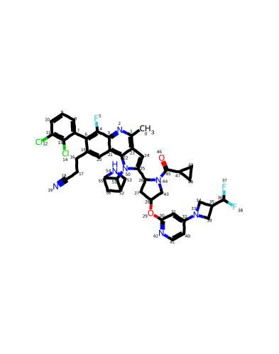 Cc1nc2c(F)c(-c3cccc(Cl)c3Cl)c(CCC#N)cc2c2c1cc(C1CC(Oc3cc(N4CC(C(F)F)C4)ccn3)CN1C(=O)C1CC1)n2C1C2CNC1C2